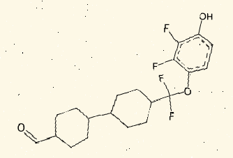 O=CC1CCC(C2CCC(C(F)(F)Oc3ccc(O)c(F)c3F)CC2)CC1